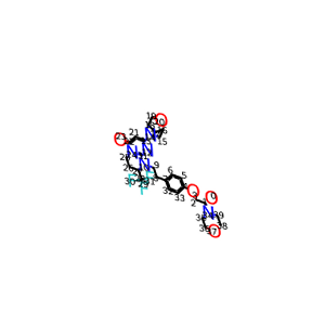 O=C(COc1ccc(CCN2c3nc(N4CC5CC4CO5)cc(=O)n3CCC2C(F)(F)F)cc1)N1CCOCC1